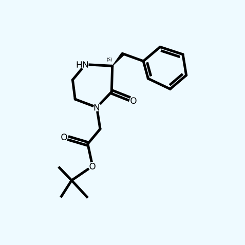 CC(C)(C)OC(=O)CN1CCN[C@@H](Cc2ccccc2)C1=O